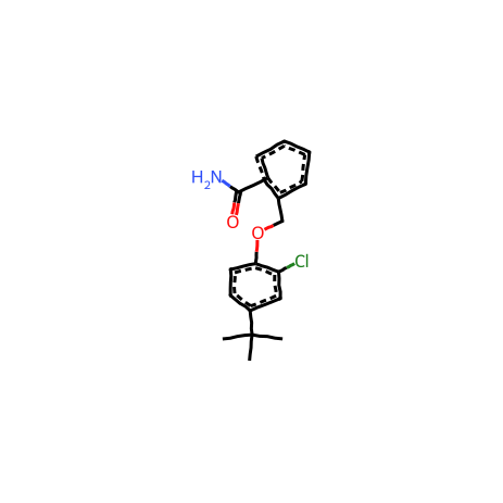 CC(C)(C)c1ccc(OCc2ccccc2C(N)=O)c(Cl)c1